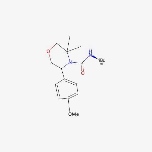 CC[C@H](C)NC(=O)N1C(c2ccc(OC)cc2)COCC1(C)C